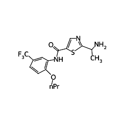 CCCOc1ccc(C(F)(F)F)cc1NC(=O)c1cnc(C(C)N)s1